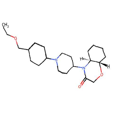 CCOCC1CCC(N2CCC(N3C(=O)CO[C@H]4CCCC[C@@H]43)CC2)CC1